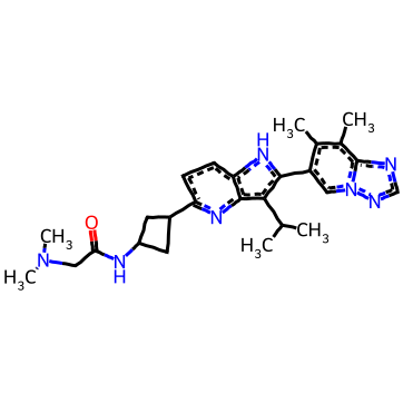 Cc1c(-c2[nH]c3ccc(C4CC(NC(=O)CN(C)C)C4)nc3c2C(C)C)cn2ncnc2c1C